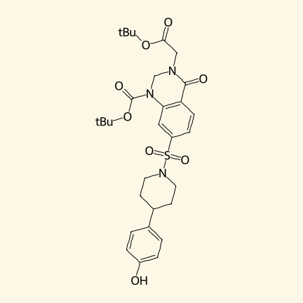 CC(C)(C)OC(=O)CN1CN(C(=O)OC(C)(C)C)c2cc(S(=O)(=O)N3CCC(c4ccc(O)cc4)CC3)ccc2C1=O